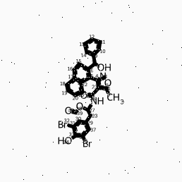 Cc1onc(-c2c(C(O)c3ccccc3)ccc3ccccc23)c1C(=O)NC(Cc1cc(Br)c(O)c(Br)c1)OC=O